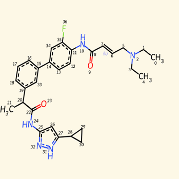 CCN(CC)C/C=C/C(=O)Nc1ccc(-c2cccc(C(C)C(=O)Nc3cc(C4CC4)[nH]n3)c2)cc1F